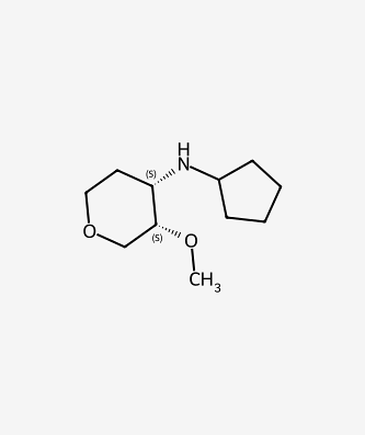 CO[C@@H]1COCC[C@@H]1NC1CCCC1